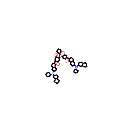 c1ccc(N(c2ccc3ccccc3c2)c2ccc3c(ccc4c5cc6c(cc5oc34)B3c4cc5oc7c8ccc(N(c9ccccc9)c9ccc%10ccccc%10c9)cc8ccc7c5cc4Oc4cccc(c43)O6)c2)cc1